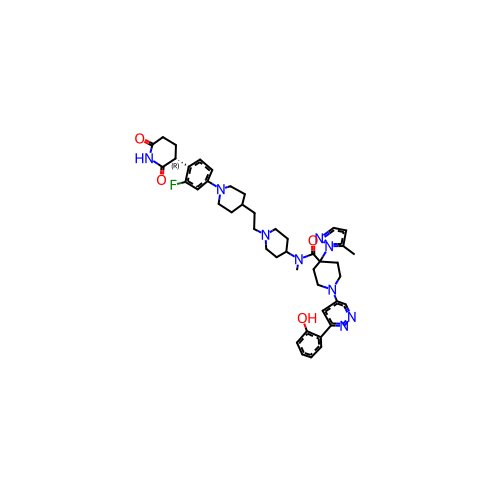 Cc1ccnn1C1(C(=O)N(C)C2CCN(CCC3CCN(c4ccc([C@H]5CCC(=O)NC5=O)c(F)c4)CC3)CC2)CCN(c2cnnc(-c3ccccc3O)c2)CC1